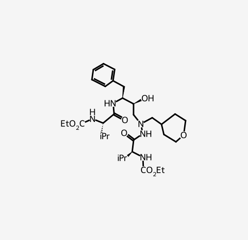 CCOC(=O)N[C@H](C(=O)N[C@@H](Cc1ccccc1)[C@@H](O)CN(CC1CCOCC1)NC(=O)[C@@H](NC(=O)OCC)C(C)C)C(C)C